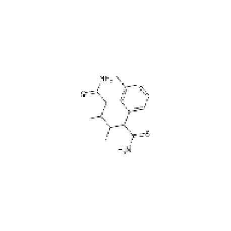 Cc1cccc(C(C(N)=S)C(C)C(C)CC(N)=S)c1